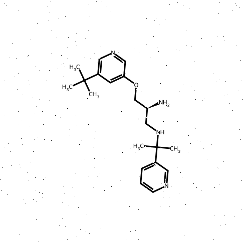 CC(C)(C)c1cncc(OC[C@@H](N)CNC(C)(C)c2cccnc2)c1